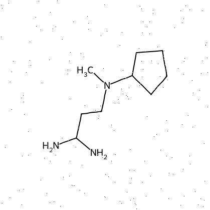 CN(CCC(N)N)C1CCCC1